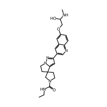 CCNC(=O)N1CCC2(CCn3nc(-c4cnc5ccc(OCC(O)NC)cc5c4)cc32)C1